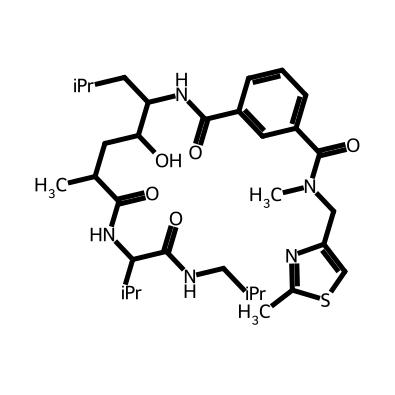 Cc1nc(CN(C)C(=O)c2cccc(C(=O)NC(CC(C)C)C(O)CC(C)C(=O)NC(C(=O)NCC(C)C)C(C)C)c2)cs1